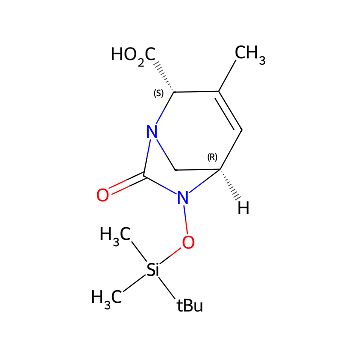 CC1=C[C@@H]2CN(C(=O)N2O[Si](C)(C)C(C)(C)C)[C@@H]1C(=O)O